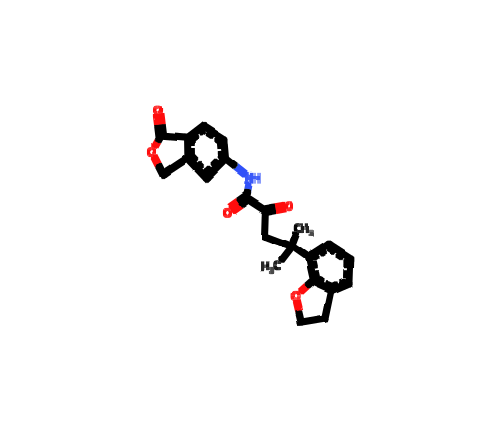 CC(C)(CC(=O)C(=O)Nc1ccc2c(c1)COC2=O)c1cccc2c1OCC2